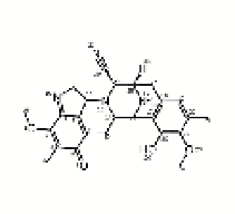 COC1=C(C)C(=O)C2=C3C1=NCC3N1C(C2)C2c3c(cc(C)c(OC)c3O)C[C@@H]([C@@H]1C#N)N2C